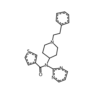 O=C(c1ccsc1)N(c1ncccn1)C1CCN(CCc2ccccc2)CC1